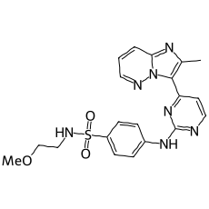 COCCNS(=O)(=O)c1ccc(Nc2nccc(-c3c(C)nc4cccnn34)n2)cc1